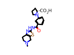 CN1CCc2nc(NC(=O)c3cccc(N4CCC[C@@H]4C(=O)O)c3)sc2C1